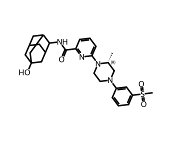 C[C@@H]1CN(c2cccc(S(C)(=O)=O)c2)CCN1c1cccc(C(=O)NC2C3CC4CC2CC(O)(C4)C3)n1